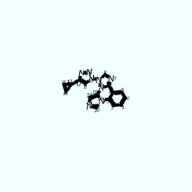 c1ccc2c(c1)C1=NCN(n3cc(C4CC4)nn3)N1c1cncn1-2